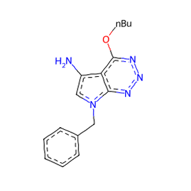 CCCCOc1nnnc2c1c(N)cn2Cc1ccccc1